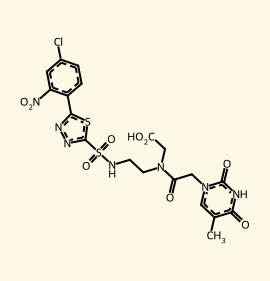 Cc1cn(CC(=O)N(CCNS(=O)(=O)c2nnc(-c3ccc(Cl)cc3[N+](=O)[O-])s2)CC(=O)O)c(=O)[nH]c1=O